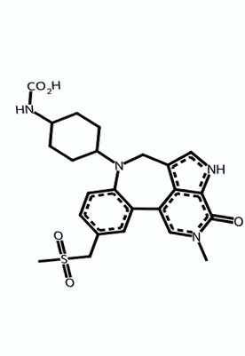 Cn1cc2c3c(c[nH]c3c1=O)CN(C1CCC(NC(=O)O)CC1)c1ccc(CS(C)(=O)=O)cc1-2